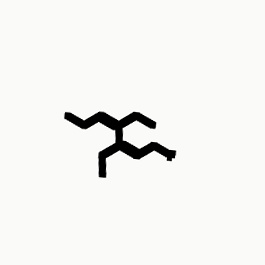 CC/C=C(CC)\C(=C/CF)CC